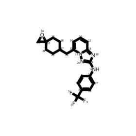 FC(F)(F)c1ccc(Nc2nc3cccc(CC4CCC5(CC4)CO5)n3n2)cc1